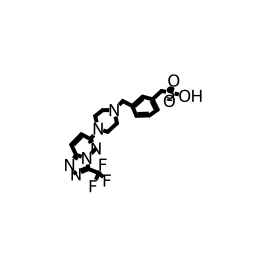 O=S(=O)(O)Cc1cccc(CN2CCN(c3ccc4nnc(C(F)(F)F)n4n3)CC2)c1